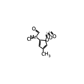 CC1=CC[C]([Mn]([Cl])[CH]=O)=C1.[C]=O.[C]=O.[C]=O